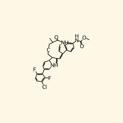 C=C1/C=C(\C=C/C)c2ccc(NC(=O)OC)cc2NC(=O)C(C)CCCC1C1C=CC(c2c(F)ccc(Cl)c2F)=CN1